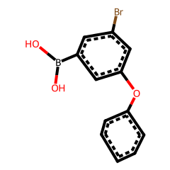 OB(O)c1cc(Br)cc(Oc2ccccc2)c1